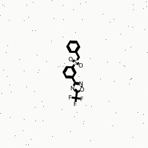 O=S(=O)(Cc1ccccc1)c1[c]ccc(-c2noc(C(F)(F)F)n2)c1